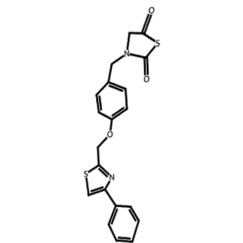 O=C1CN(Cc2ccc(OCc3nc(-c4ccccc4)cs3)cc2)C(=O)S1